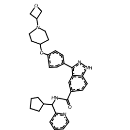 O=C(NC(c1ccccn1)C1CCCC1)c1ccc2[nH]nc(-c3ccc(OC4CCN(C5COC5)CC4)cc3)c2c1